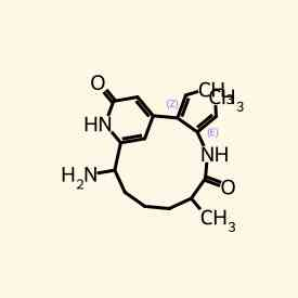 C/C=C1\C(=C/C)NC(=O)C(C)CCCC(N)c2cc1cc(=O)[nH]2